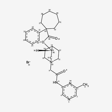 Cc1cncc(NC(=O)C[N+]23CCC(CC2)[C@@H](OC(=O)C2(c4ccccc4)CCCCCC2)C3)n1.[Br-]